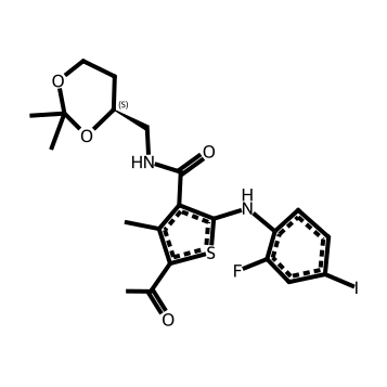 CC(=O)c1sc(Nc2ccc(I)cc2F)c(C(=O)NC[C@@H]2CCOC(C)(C)O2)c1C